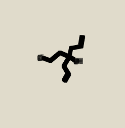 C=CCC(O)(CC=C)CCCl